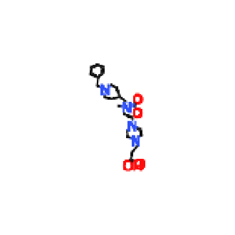 C[N+]1(CC2CCN(Cc3ccccc3)CC2)CC(N2CCN(CCC(=O)O)CC2)OC1=O